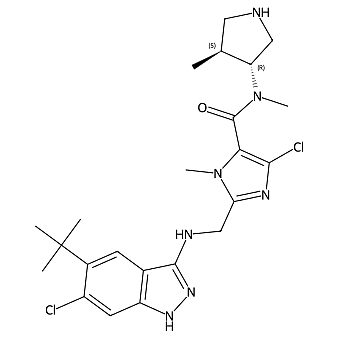 C[C@H]1CNC[C@@H]1N(C)C(=O)c1c(Cl)nc(CNc2n[nH]c3cc(Cl)c(C(C)(C)C)cc23)n1C